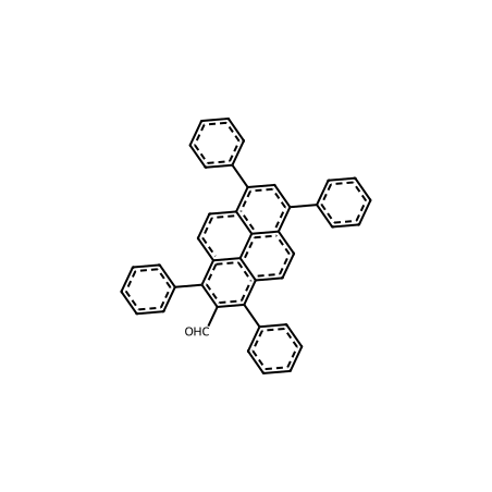 O=Cc1c(-c2ccccc2)c2ccc3c(-c4ccccc4)cc(-c4ccccc4)c4ccc(c1-c1ccccc1)c2c34